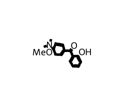 COC1(N(C)C)C=CC(C(=O)c2ccccc2O)=CC1